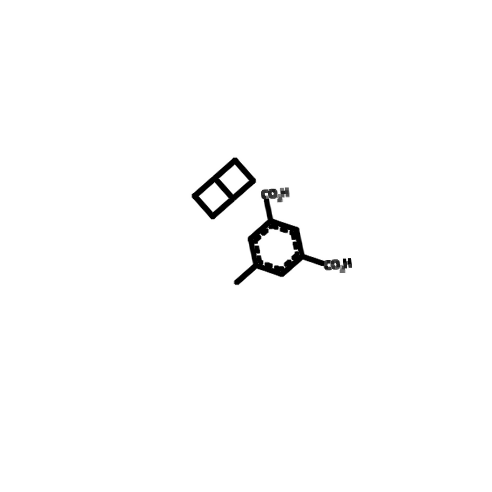 C1CC2CCC12.Cc1cc(C(=O)O)cc(C(=O)O)c1